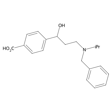 CC(C)N(CCC(O)c1ccc(C(=O)O)cc1)Cc1ccccc1